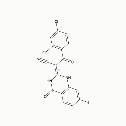 N#C/C(C(=O)c1ccc(Cl)cc1Cl)=C1\NC(=O)c2ccc(I)cc2N1